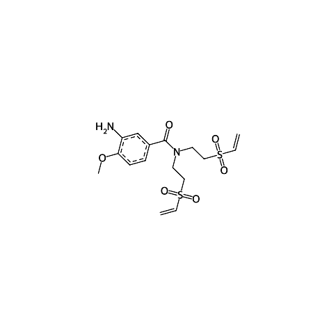 C=CS(=O)(=O)CCN(CCS(=O)(=O)C=C)C(=O)c1ccc(OC)c(N)c1